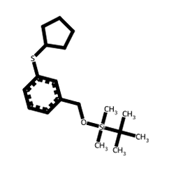 CC(C)(C)[Si](C)(C)OCc1cccc(SC2CCCC2)c1